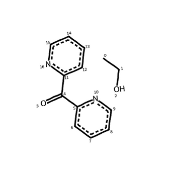 CCO.O=C(c1ccccn1)c1ccccn1